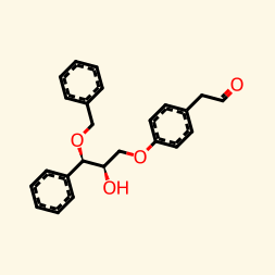 O=CCc1ccc(OC[C@@H](O)[C@H](OCc2ccccc2)c2ccccc2)cc1